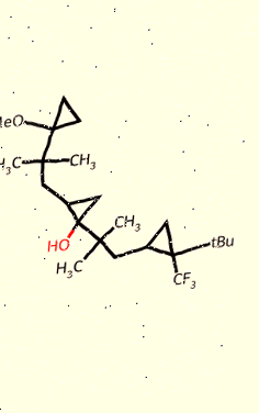 COC1(C(C)(C)CC2CC2(O)C(C)(C)CC2CC2(C(C)(C)C)C(F)(F)F)CC1